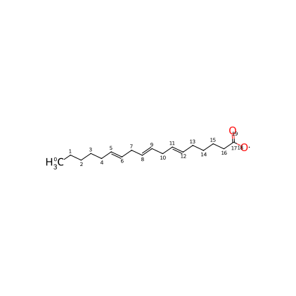 CCCCC/C=C/C/C=C/C/C=C/CCCCC([O])=O